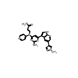 Cn1cc(-c2cnc3[nH]cc(-c4cc(N(CCC(N)=O)c5ccncc5)nc(N)n4)c3c2)cn1